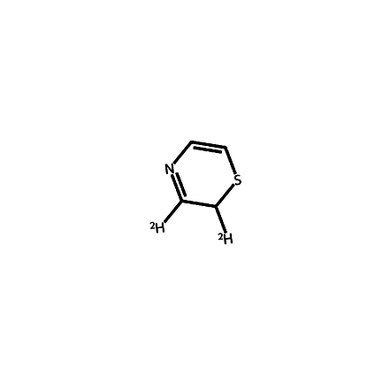 [2H]C1=NC=CSC1[2H]